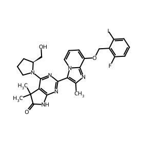 Cc1nc2c(OCc3c(F)cccc3I)cccn2c1-c1nc2c(c(N3CCC[C@H]3CO)n1)C(C)(C)C(=O)N2